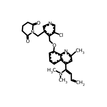 C=C/C=C(/c1cc(C)nc2c(OCc3c(Cl)cncc3CN3C(=O)CCCC3=O)cccc12)N(C)C